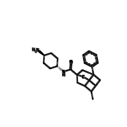 CC1C2CC3(C(=O)N[C@H]4CC[C@H](N)CC4)CC4(c5ccccc5)CC1C24C3